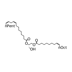 CCCCC/C=C\C/C=C\CCCCCCCC(=O)O[C@@H](CO)COC(=O)CCCCCCC/C=C\CCCCCCCC